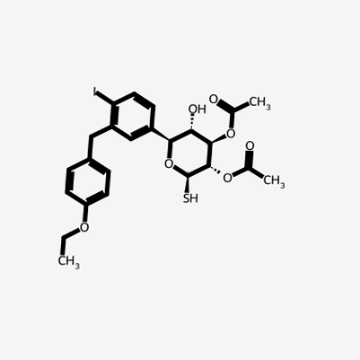 CCOc1ccc(Cc2cc([C@@H]3O[C@H](S)[C@@H](OC(C)=O)[C@H](OC(C)=O)[C@H]3O)ccc2I)cc1